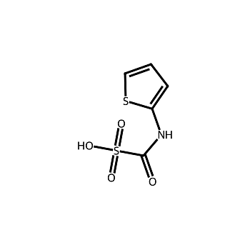 O=C(Nc1cccs1)S(=O)(=O)O